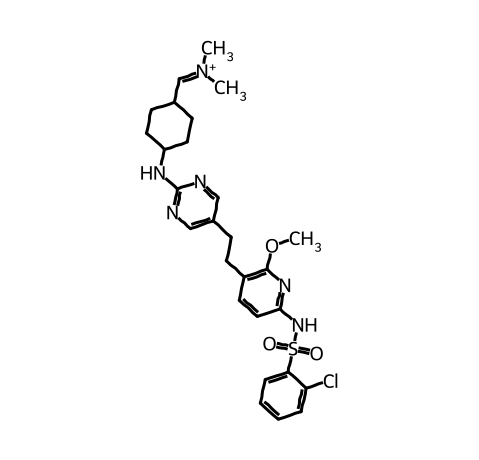 COc1nc(NS(=O)(=O)c2ccccc2Cl)ccc1CCc1cnc(NC2CCC(C=[N+](C)C)CC2)nc1